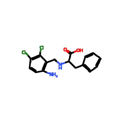 Nc1ccc(Cl)c(Cl)c1CNC(Cc1ccccc1)C(=O)O